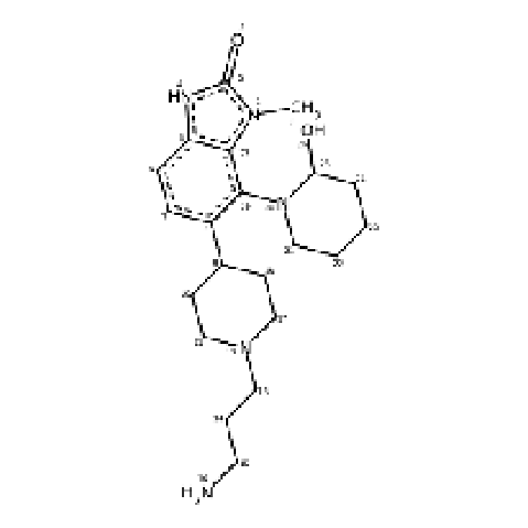 Cn1c(=O)[nH]c2ccc(C3CCN(CCCN)CC3)c(N3CCCCC3O)c21